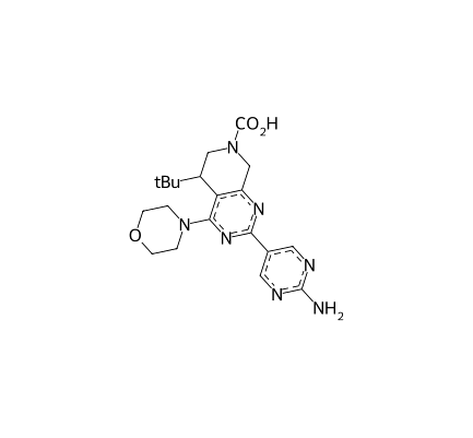 CC(C)(C)C1CN(C(=O)O)Cc2nc(-c3cnc(N)nc3)nc(N3CCOCC3)c21